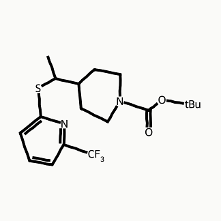 CC(Sc1cccc(C(F)(F)F)n1)C1CCN(C(=O)OC(C)(C)C)CC1